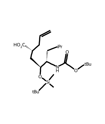 C=CC[C@H](C[C@H](O[Si](C)(C)C(C)(C)C)[C@H](CC(C)C)NC(=O)OC(C)(C)C)C(=O)O